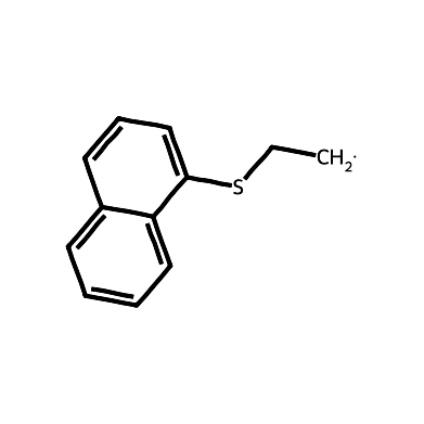 [CH2]CSc1cccc2ccccc12